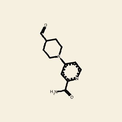 NC(=O)c1cc(N2CCC(C=O)CC2)ccn1